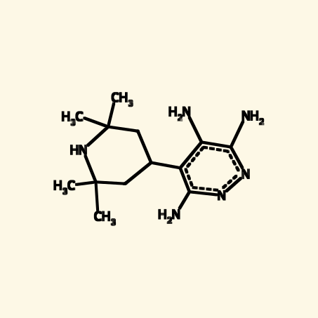 CC1(C)CC(c2c(N)nnc(N)c2N)CC(C)(C)N1